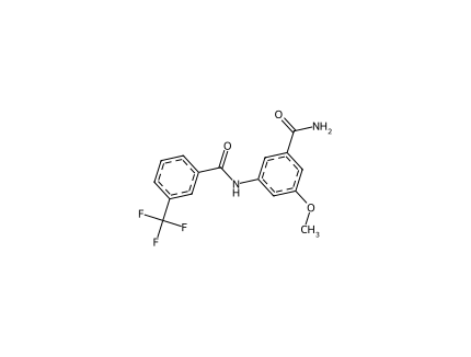 COc1cc(NC(=O)c2cccc(C(F)(F)F)c2)cc(C(N)=O)c1